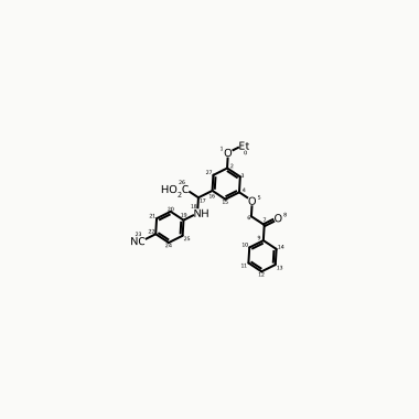 CCOc1cc(OCC(=O)c2ccccc2)cc(C(Nc2ccc(C#N)cc2)C(=O)O)c1